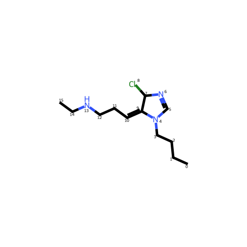 CCCCN1C=NC(Cl)C1=CCCNCC